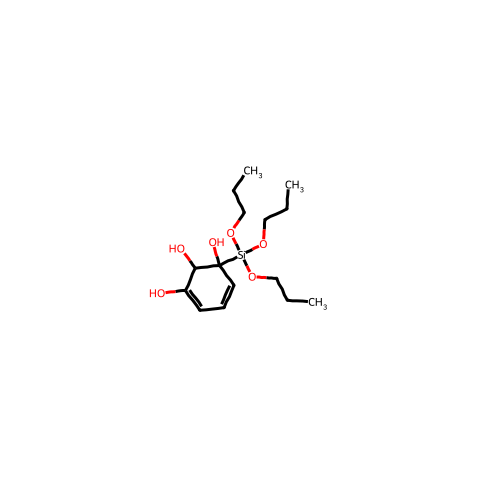 CCCO[Si](OCCC)(OCCC)C1(O)C=CC=C(O)C1O